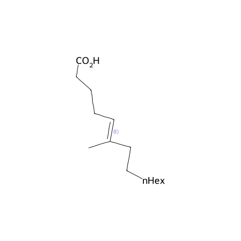 CCCCCCCC/C(C)=C/CCCC(=O)O